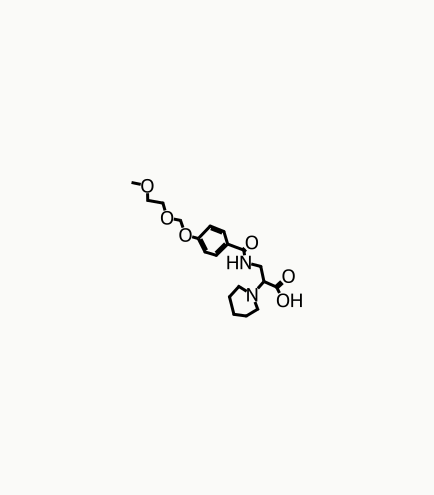 COCCOCOc1ccc(C(=O)NCC(C(=O)O)N2CCCCC2)cc1